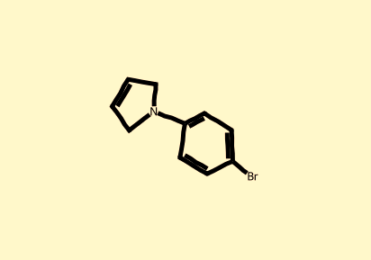 Brc1ccc(N2CC=CC2)cc1